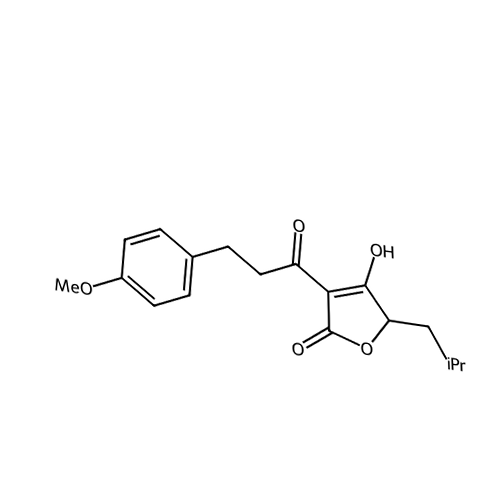 COc1ccc(CCC(=O)C2=C(O)C(CC(C)C)OC2=O)cc1